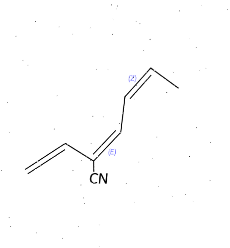 C=C/C(C#N)=C\C=C/C